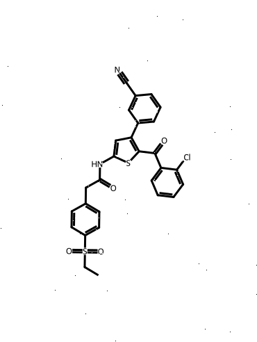 CCS(=O)(=O)c1ccc(CC(=O)Nc2cc(-c3cccc(C#N)c3)c(C(=O)c3ccccc3Cl)s2)cc1